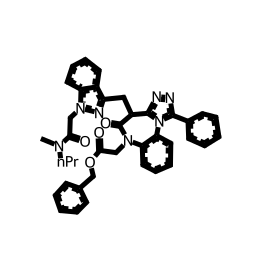 CCCN(C)C(=O)Cn1nc(CC2C(=O)N(CC(=O)OCc3ccccc3)c3ccccc3-n3c(-c4ccccc4)nnc32)c2ccccc21